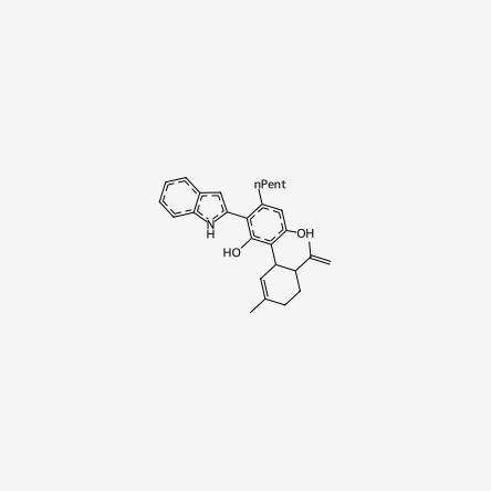 C=C(C)C1CCC(C)=CC1c1c(O)cc(CCCCC)c(-c2cc3ccccc3[nH]2)c1O